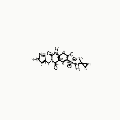 Cn1cc(Cn2c(=O)[nH]c3c(c2=O)C=C(S(=O)(=O)NC2(C)CC2)C(F)C3)cn1